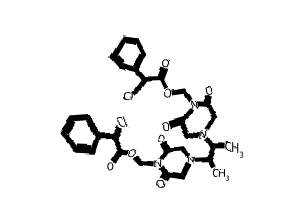 CC(C(C)N1CC(=O)N(COC(=O)C(Cl)c2ccccc2)C(=O)C1)N1CC(=O)N(COC(=O)C(Cl)c2ccccc2)C(=O)C1